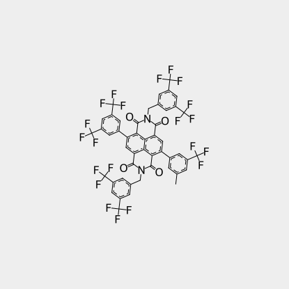 Cc1cc(-c2cc3c4c(c(-c5cc(C(F)(F)F)cc(C(F)(F)F)c5)cc5c4c2C(=O)N(Cc2cc(C(F)(F)F)cc(C(F)(F)F)c2)C5=O)C(=O)N(Cc2cc(C(F)(F)F)cc(C(F)(F)F)c2)C3=O)cc(C(F)(F)F)c1